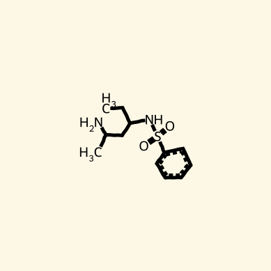 CCC(CC(C)N)NS(=O)(=O)c1ccccc1